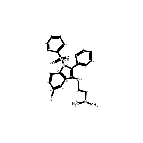 CN(C)CCOc1c(-c2ccccc2)n(S(=O)(=O)c2ccccc2)c2ccc(F)cc12